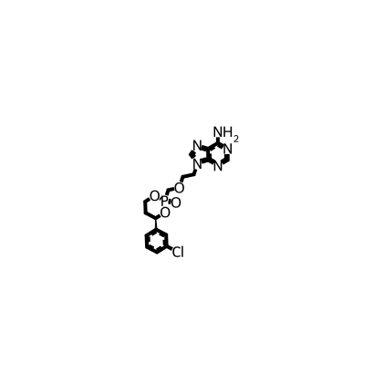 Nc1ncnc2c1ncn2CCOCP1(=O)OCC[C@H](c2cccc(Cl)c2)O1